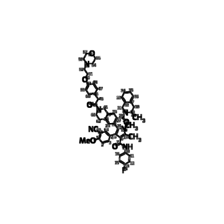 COc1ccc(-c2c(C(=O)Nc3ccc(F)cc3)c(C)n(C)c2-c2cc3c(cc2C(=O)N2Cc4ccccc4C[C@H]2C)CN(C(=O)Cc2ccc(OCCN4CCOCC4)cc2)CC3)cc1C#N